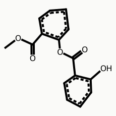 COC(=O)c1ccccc1OC(=O)c1ccccc1O